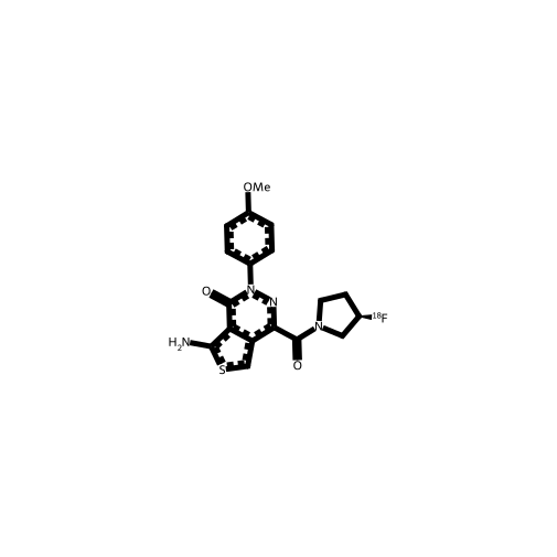 COc1ccc(-n2nc(C(=O)N3CC[C@@H]([18F])C3)c3csc(N)c3c2=O)cc1